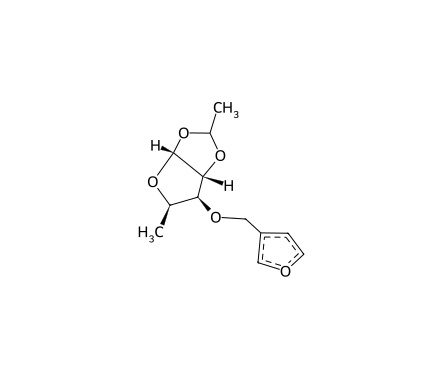 CC1O[C@H]2O[C@H](C)[C@H](OCc3ccoc3)[C@H]2O1